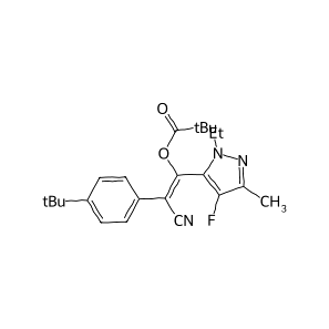 CCn1nc(C)c(F)c1C(OC(=O)C(C)(C)C)=C(C#N)c1ccc(C(C)(C)C)cc1